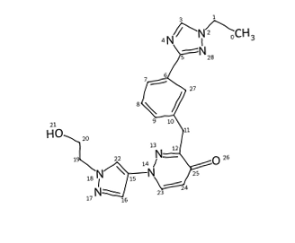 CCn1cnc(-c2cccc(Cc3nn(-c4cnn(CCO)c4)ccc3=O)c2)n1